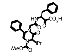 COC(=O)N1C=C(c2ccccc2)N(CC(=O)N[C@@H](Cc2ccccc2)C(=O)C(=O)O)C(=O)C1C(C)C